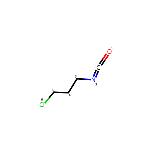 O=C=NCC[CH]Cl